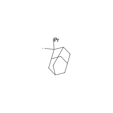 [CH2]C1(C(C)C)C2CC3CC(C2)CC1C3